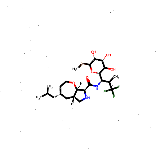 CSC1O[C@H]([C@H](NC(=O)[C@H]2NC[C@@H]3C[C@H](CC(C)C)CCO[C@H]32)C(C)C(F)(F)F)C(O)[C@@H](O)[C@H]1O